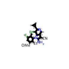 CCc1c(OC)cc(F)c(C)c1-n1c(N)c(C#N)c2cnc(C3CC3)c(Br)c21